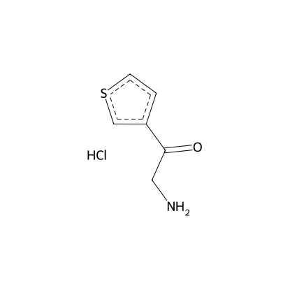 Cl.NCC(=O)c1ccsc1